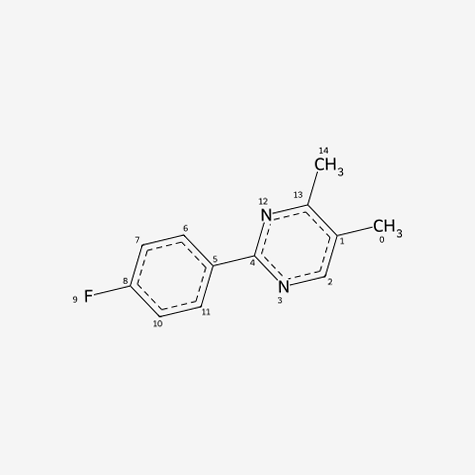 Cc1cnc(-c2ccc(F)cc2)nc1C